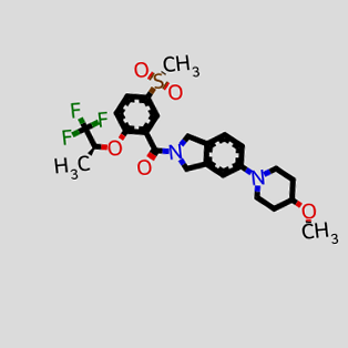 COC1CCN(c2ccc3c(c2)CN(C(=O)c2cc(S(C)(=O)=O)ccc2O[C@@H](C)C(F)(F)F)C3)CC1